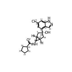 O=C(N[C@H]1[C@@H]2C[C@@](O)(c3cc(Cl)cc4[nH]ncc34)C[C@@H]21)C1CCCC1